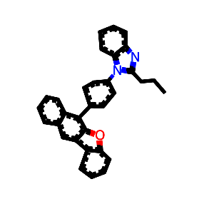 CCCc1nc2ccccc2n1-c1ccc(-c2c3ccccc3cc3c2oc2ccccc23)cc1